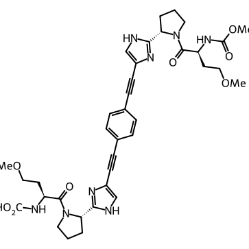 COCC[C@H](NC(=O)O)C(=O)N1CCC[C@H]1c1nc(C#Cc2ccc(C#Cc3c[nH]c([C@@H]4CCCN4C(=O)[C@H](CCOC)NC(=O)OC)n3)cc2)c[nH]1